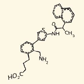 CC(C(=O)Nc1cc(-c2cccc(CCCC(=O)O)c2CN)cs1)c1cccc2ccccc12